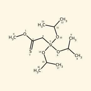 COC(=S)C[Si](OC(C)C)(OC(C)C)OC(C)C